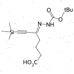 CC(C)(C)OC(=O)NN=C(C#C[Si](C)(C)C)CCCC(=O)O